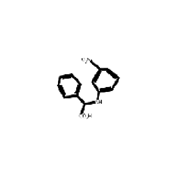 O=C(O)C(Nc1cccc([N+](=O)[O-])c1)c1ccccc1